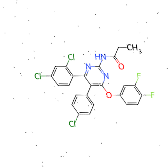 CCC(=O)Nc1nc(Oc2ccc(F)c(F)c2)c(-c2ccc(Cl)cc2)c(-c2ccc(Cl)cc2Cl)n1